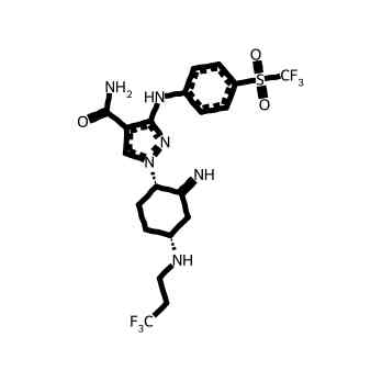 N=C1C[C@H](NCCC(F)(F)F)CC[C@@H]1n1cc(C(N)=O)c(Nc2ccc(S(=O)(=O)C(F)(F)F)cc2)n1